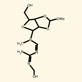 COC1OC2C(CO)OC(N(C)/C=N\C(N)=N/CO)C2O1